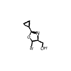 OCC1N=C(C2CC2)OC1Br